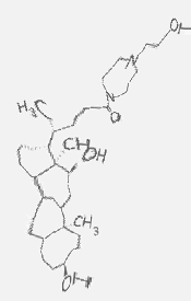 C[C@H](CCC(=O)N1CCN(CCO)CC1)[C@H]1CCC2C3CCC4C[C@H](O)CC[C@]4(C)C3C[C@H](O)[C@@]21C